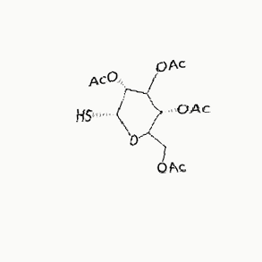 CC(=O)OCC1O[C@H](S)[C@H](OC(C)=O)C(OC(C)=O)[C@@H]1OC(C)=O